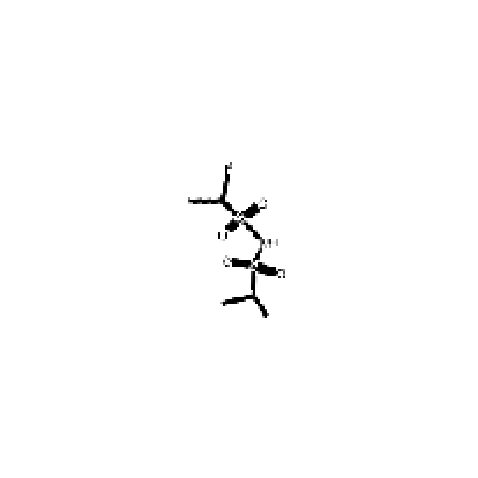 CC(C)S(=O)(=O)NS(=O)(=O)C(C)F